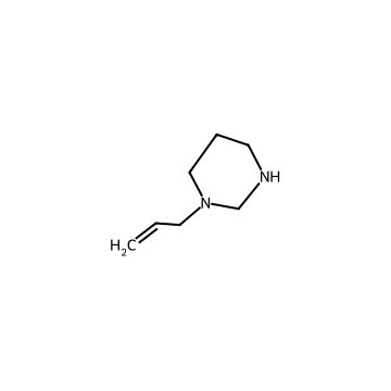 C=CCN1CCCNC1